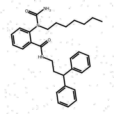 CCCCCCCN(C(N)=O)c1ccccc1C(=O)NCCC(c1ccccc1)c1ccccc1